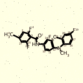 Cc1cc(F)c(C(=O)Nc2ccc(N(C)c3ccc(F)cc3C(F)(F)F)cc2)c(F)c1